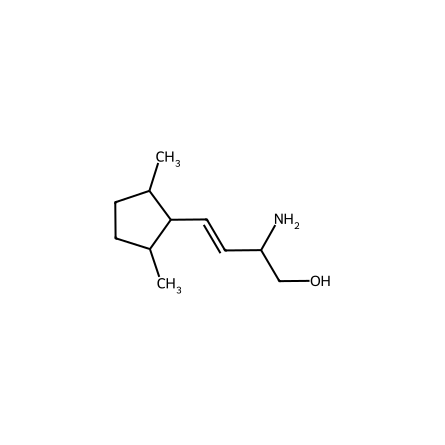 CC1CCC(C)C1C=CC(N)CO